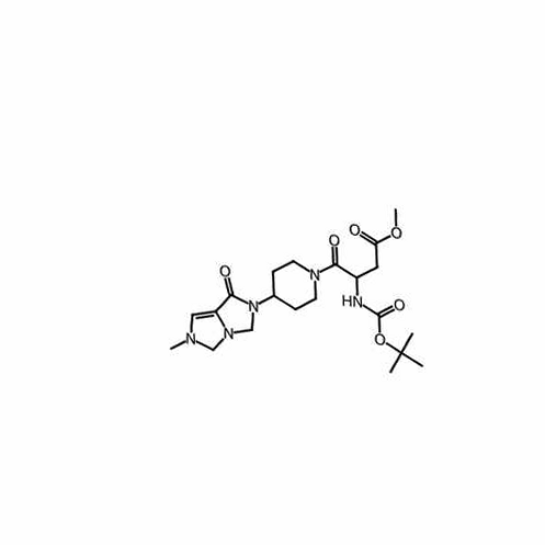 COC(=O)CC(NC(=O)OC(C)(C)C)C(=O)N1CCC(N2CN3CN(C)C=C3C2=O)CC1